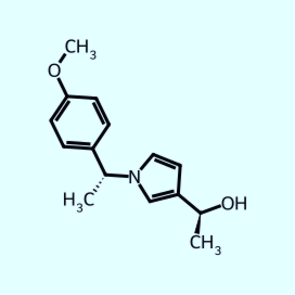 COc1ccc([C@@H](C)n2ccc([C@H](C)O)c2)cc1